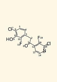 O=C(Cc1ccc(Cl)c(O)c1F)c1ccnc(Cl)c1F